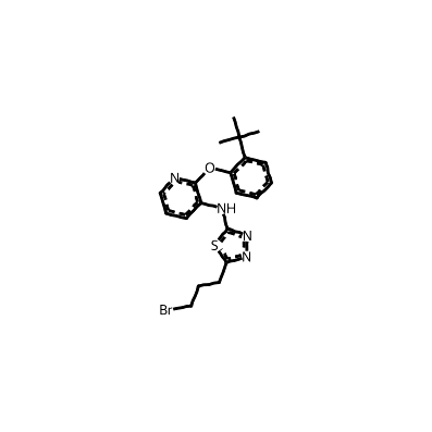 CC(C)(C)c1ccccc1Oc1ncccc1Nc1nnc(CCCBr)s1